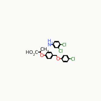 CC(Oc1ccc(COc2ccc(Cl)cc2)cc1)C(=O)O.Nc1ccc(Cl)c(Cl)c1